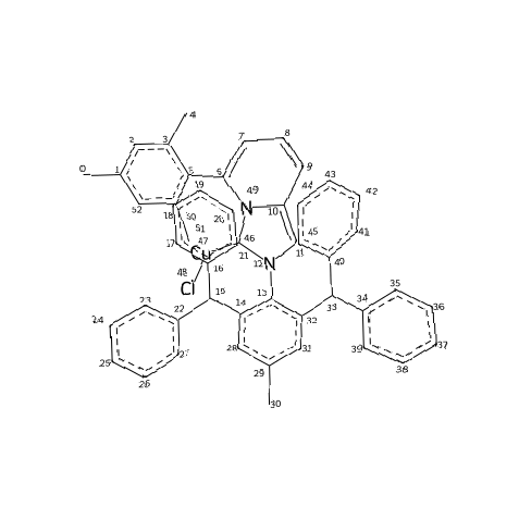 Cc1cc(C)c(C2=CC=CC3=CN(c4c(C(c5ccccc5)c5ccccc5)cc(C)cc4C(c4ccccc4)c4ccccc4)[CH]([Cu-][Cl])N32)c(C)c1